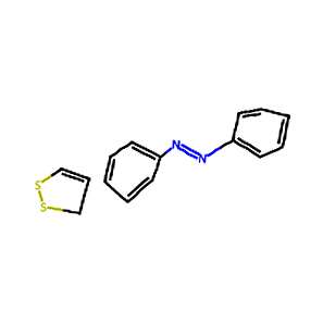 C1=CSSC1.c1ccc(N=Nc2ccccc2)cc1